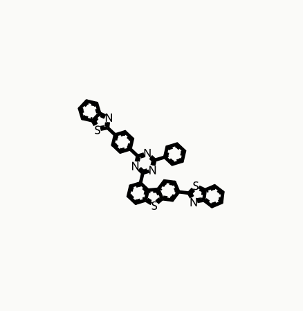 c1ccc(-c2nc(-c3ccc(-c4nc5ccccc5s4)cc3)nc(-c3cccc4sc5cc(-c6nc7ccccc7s6)ccc5c34)n2)cc1